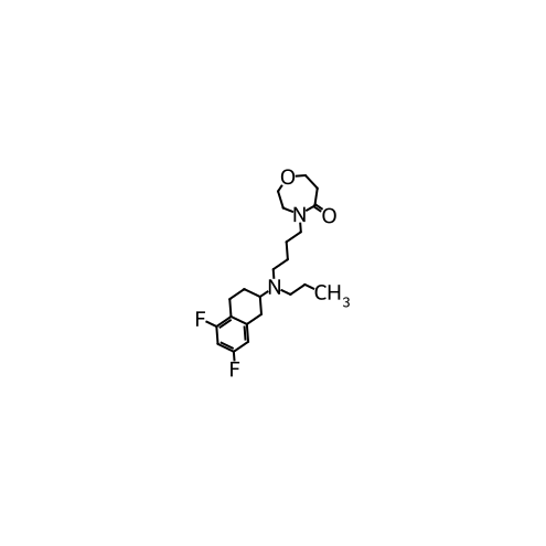 CCCN(CCCCN1CCOCCC1=O)C1CCc2c(F)cc(F)cc2C1